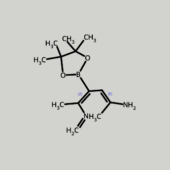 C=N/C(C)=C(\C=C(/C)N)B1OC(C)(C)C(C)(C)O1